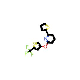 FC(F)(F)c1cc(Oc2cccc(-c3cccs3)n2)cs1